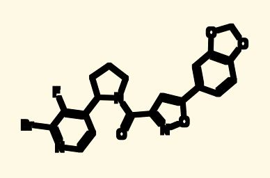 O=C(c1cc(-c2ccc3c(c2)OCO3)on1)N1CCCC1c1ccnc(Br)c1F